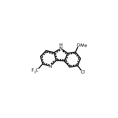 COc1cc(Cl)cc2c1[nH]c1ccc(C(F)(F)F)nc12